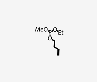 C=CCCOP(OC)OCC